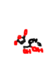 CC(O)CO.O=C1C=CC(=O)O1